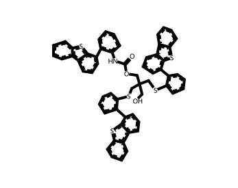 O=C(Nc1ccccc1-c1cccc2c1sc1ccccc12)OCC(CO)(CSc1ccccc1-c1cccc2c1sc1ccccc12)CSc1ccccc1-c1cccc2c1sc1ccccc12